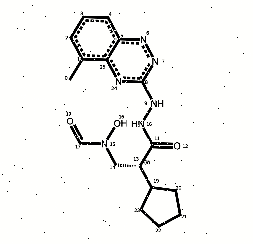 Cc1cccc2nnc(NNC(=O)[C@@H](CN(O)C=O)C3CCCC3)nc12